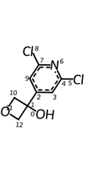 OC1(c2cc(Cl)nc(Cl)c2)COC1